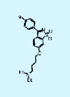 CCN(CC)CCCCOc1ccc2c(c1)S(=O)(=O)N=C2c1ccc(Br)cc1